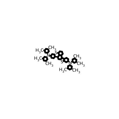 Cc1cc(C)cc(N(c2cc(C)cc(C)c2)c2ccc3c(c2)Sc2cccc4c2c-3cc2sc3cc(N(c5cc(C)cc(C)c5)c5cc(C)cc(C)c5)ccc3c24)c1